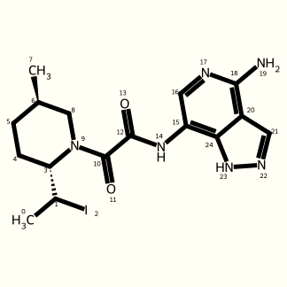 CC(I)[C@@H]1CC[C@@H](C)CN1C(=O)C(=O)Nc1cnc(N)c2cn[nH]c12